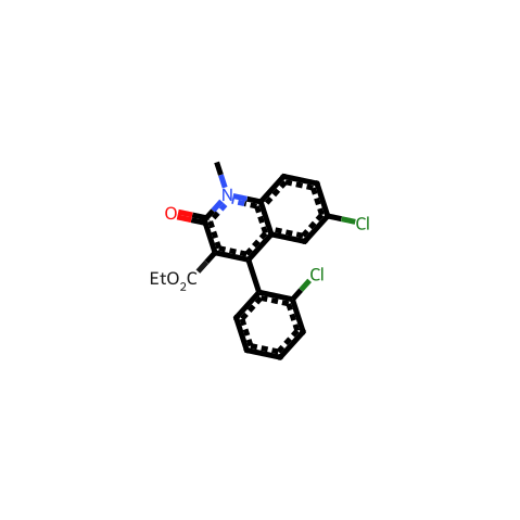 CCOC(=O)c1c(-c2ccccc2Cl)c2cc(Cl)ccc2n(C)c1=O